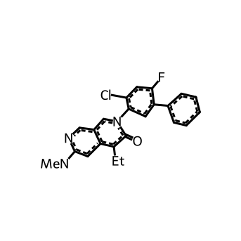 CCc1c(=O)n(-c2cc(-c3ccccc3)c(F)cc2Cl)cc2cnc(NC)cc12